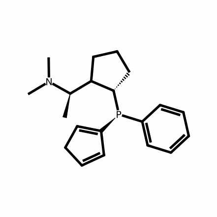 C[C@H](C1CCC[C@@H]1[P@](C1=CCC=C1)c1ccccc1)N(C)C